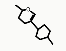 CC1CCC(C2=COC(C)CC2)CC1